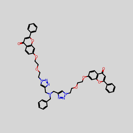 O=c1cc(-c2ccccc2)oc2cc(OCCOCCn3cc(CN(Cc4ccccc4)Cc4cn(CCOCCOc5ccc6c(=O)cc(-c7ccccc7)oc6c5)nn4)nn3)ccc12